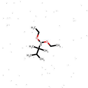 CCO[SiH](OCC)C(C)(C)C(C)C